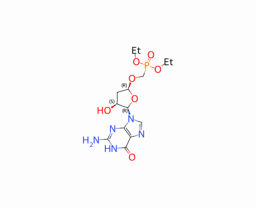 CCOP(=O)(CO[C@@H]1C[C@H](O)[C@H](n2cnc3c(=O)[nH]c(N)nc32)O1)OCC